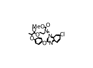 COC(=O)N(C)CCOC(=O)C(C)Oc1ccc(Oc2cnc3cc(Cl)ccc3n2)cc1